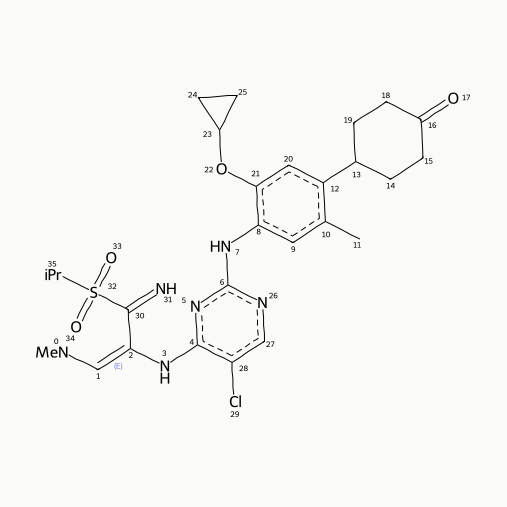 CN/C=C(/Nc1nc(Nc2cc(C)c(C3CCC(=O)CC3)cc2OC2CC2)ncc1Cl)C(=N)S(=O)(=O)C(C)C